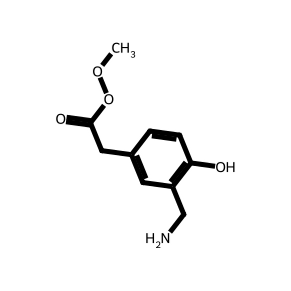 COOC(=O)Cc1ccc(O)c(CN)c1